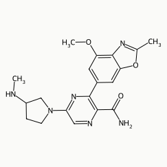 CNC1CCN(c2cnc(C(N)=O)c(-c3cc(OC)c4nc(C)oc4c3)n2)C1